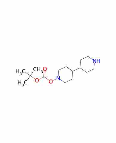 CC(C)(C)OC(=O)ON1CCC(C2CCNCC2)CC1